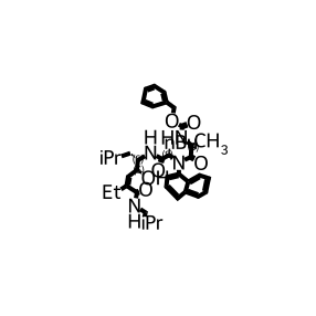 CCCC[C@@H](C(=O)N[C@@H](CC(C)C)[C@@H](O)C=C(CC)C(=O)NCC(C)C)N(C(=O)[C@H](C)NC(=O)OCc1ccccc1)c1cccc2ccccc12